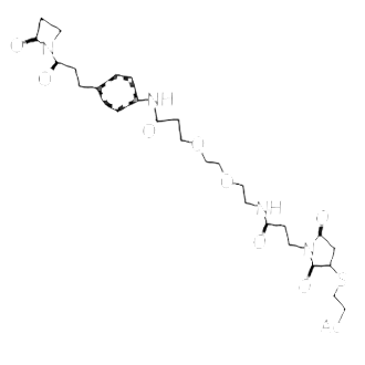 CC(=O)CCSC1CC(=O)N(CCC(=O)NCCOCCOCCC(=O)Nc2ccc(CCC(=O)N3CCC3=O)cc2)C1=O